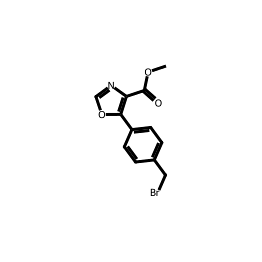 COC(=O)c1ncoc1-c1ccc(CBr)cc1